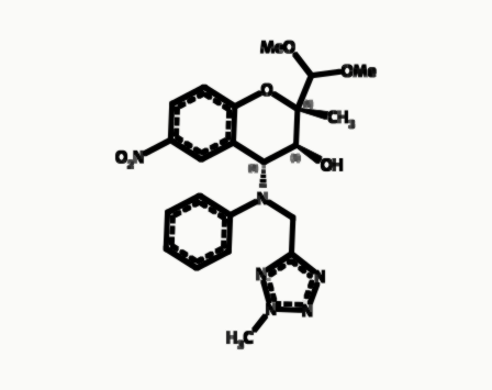 COC(OC)[C@@]1(C)Oc2ccc([N+](=O)[O-])cc2[C@@H](N(Cc2nnn(C)n2)c2ccccc2)[C@@H]1O